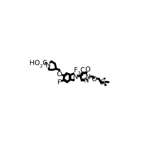 C[Si](C)(C)CCOCn1ncc(N2Cc3cc(F)c(OCC4CCN(C(=O)O)CC4)cc3C2)c(C(F)(F)F)c1=O